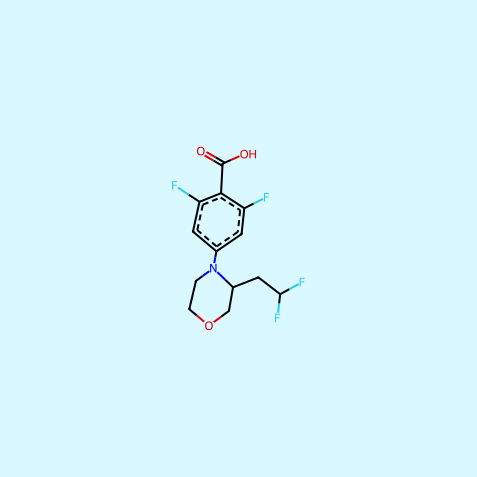 O=C(O)c1c(F)cc(N2CCOCC2CC(F)F)cc1F